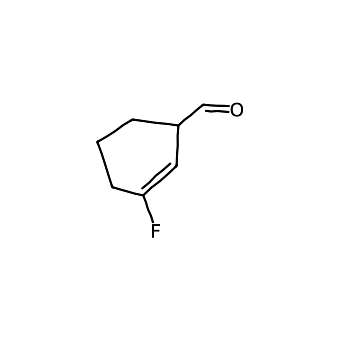 O=CC1C=C(F)CCC1